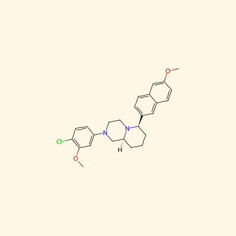 COc1ccc2cc([C@H]3CCC[C@H]4CN(c5ccc(Cl)c(OC)c5)CCN43)ccc2c1